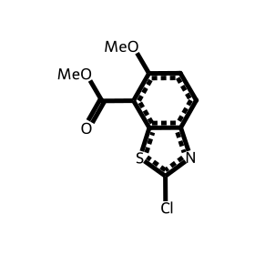 COC(=O)c1c(OC)ccc2nc(Cl)sc12